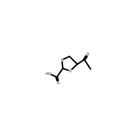 CC(=O)C1CSC(C(=O)O)O1